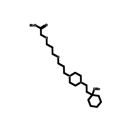 COC(=O)COCCCOCCCN1CCN(CCC2(OC)CCCCC2)CC1